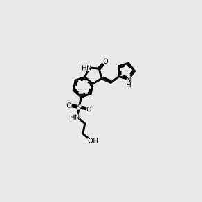 O=C1Nc2ccc(S(=O)(=O)NCCO)cc2C1=Cc1ccc[nH]1